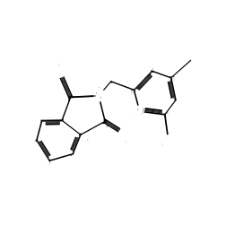 Cc1cc(Cl)nc(CN2C(=O)c3ccccc3C2=O)c1